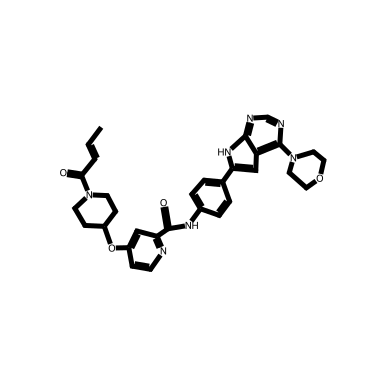 C/C=C/C(=O)N1CCC(Oc2ccnc(C(=O)Nc3ccc(-c4cc5c(N6CCOCC6)ncnc5[nH]4)cc3)c2)CC1